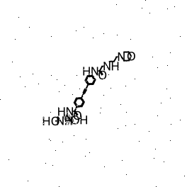 C[C@@H](O)[C@H](CNO)NC(=O)c1ccc(C#Cc2ccc(NC(=O)CNCCCN3CCOCC3)cc2)cc1